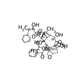 CC(=O)O[C@@]12COC1C[C@H](O)[C@@]1(C)C(=O)[C@H](O)C3=C(C)[C@@H](OC(=O)[C@H](O)[C@@H](C)c4ccccc4)C[C@@](O)([C@@H](OC(=O)c4ccccc4)[C@@H]12)C3(C)C